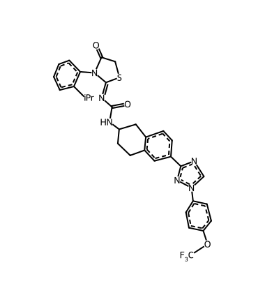 CC(C)c1ccccc1N1C(=O)CS/C1=N\C(=O)NC1CCc2cc(-c3ncn(-c4ccc(OC(F)(F)F)cc4)n3)ccc2C1